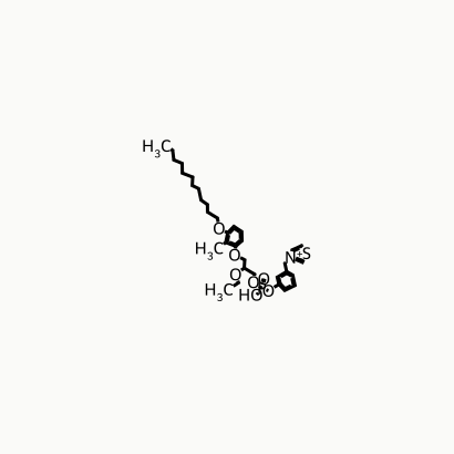 CCCCCCCCCCCCOc1cccc(OCC(COP(=O)(O)Oc2cccc(C[n+]3ccsc3)c2)OCC)c1C